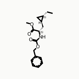 CC[C@H]1C[C@@H]1C[C@H](NC(=O)OCc1ccccc1)C(=O)OC